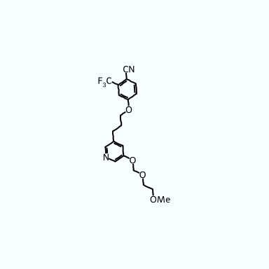 COCCOCOc1cncc(CCCOc2ccc(C#N)c(C(F)(F)F)c2)c1